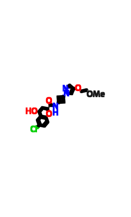 COCCOc1cnn(C23CC(NC(=O)[C@H]4C[C@@H](O)c5cc(Cl)ccc5O4)(C2)C3)c1